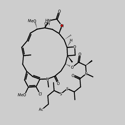 COc1cc2cc(c1Cl)N(C)C(=O)C[C@@H](OC(=O)[C@@H](C)N(C)C(=O)CC(C)SSC(C)CCC(C)=O)[C@@]1(C)CO[C@@H]1[C@@H](C)[C@H]1C[C@](O)(NC(=O)O1)[C@@H](OC)/C=C/C=C(\C)C2